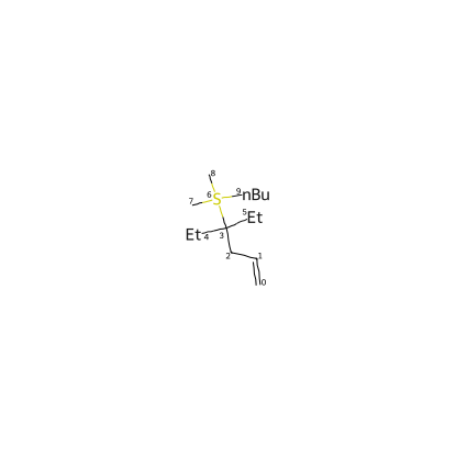 C=CCC(CC)(CC)S(C)(C)CCCC